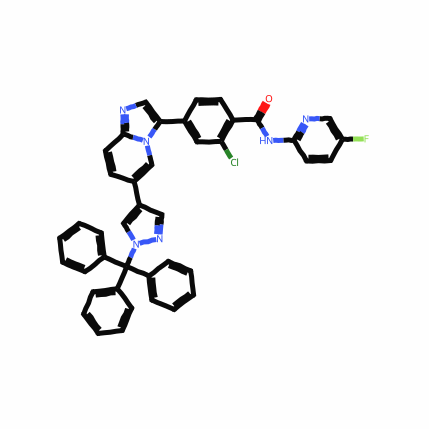 O=C(Nc1ccc(F)cn1)c1ccc(-c2cnc3ccc(-c4cnn(C(c5ccccc5)(c5ccccc5)c5ccccc5)c4)cn23)cc1Cl